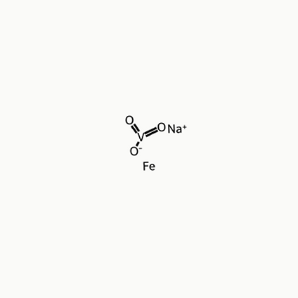 [Fe].[Na+].[O]=[V](=[O])[O-]